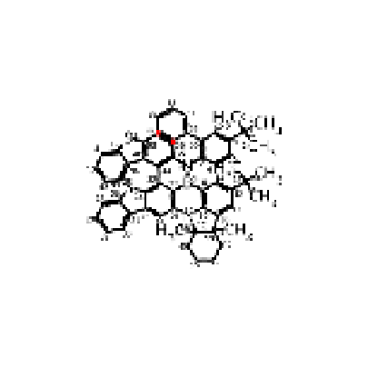 CC(C)(C)c1ccc(N2B3c4cc(C(C)(C)C)cc5c4N(c4cc6c(sc7ccccc76)c(c43)-c3c2ccc2sc4ccccc4c32)C2(C)CCCCC52C)c(-c2ccccc2)c1